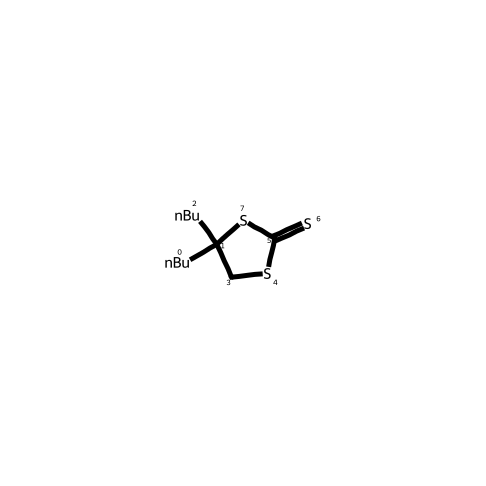 CCCCC1(CCCC)CSC(=S)S1